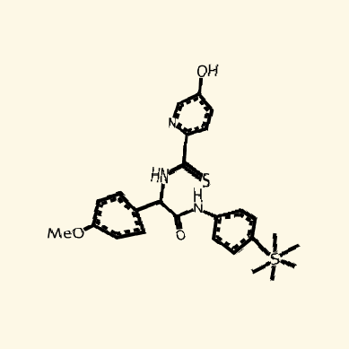 COc1ccc(C(NC(=S)c2ccc(O)cn2)C(=O)Nc2ccc(S(C)(C)(C)(C)C)cc2)cc1